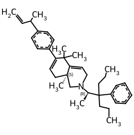 C=CC(C)c1ccc(C2=CC[C@]3(C)CN([C@H](C)C(CCC)(CCC)c4ccccc4)CC=C3C2(C)C)cc1